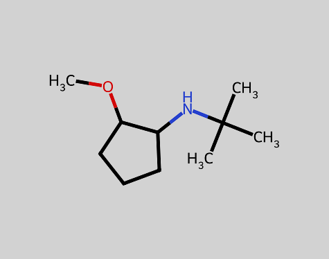 COC1CCCC1NC(C)(C)C